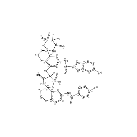 CC1(C)C(=N)N[C@@]2(COCc3c(CC4(C)C(=N)N[C@@]5(COCc6ccc(NC(=O)c7ccc(F)cn7)cc65)CS4(=O)=O)cc(NC(=O)c4cn5cc(C#N)ccc5n4)cc32)CS1(=O)=O